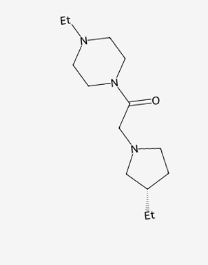 CC[C@H]1CCN(CC(=O)N2CCN(CC)CC2)C1